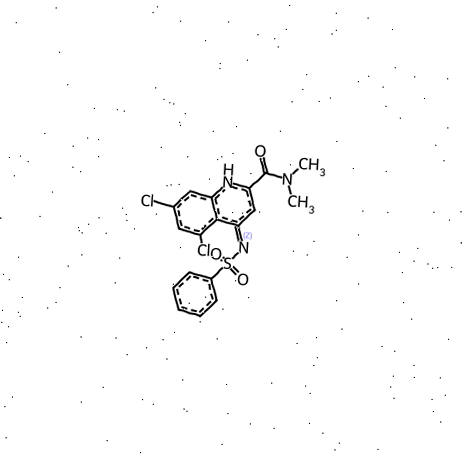 CN(C)C(=O)c1c/c(=N/S(=O)(=O)c2ccccc2)c2c(Cl)cc(Cl)cc2[nH]1